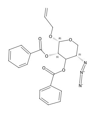 C=CCO[C@@H]1OC[C@H](N=[N+]=[N-])C(OC(=O)c2ccccc2)[C@@H]1OC(=O)c1ccccc1